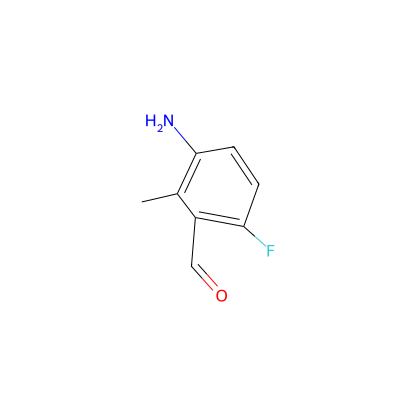 Cc1c(N)ccc(F)c1C=O